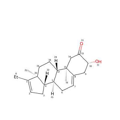 CCC1=CC[C@H]2[C@@H]3CC=C4C[C@@H](O)C(=O)C[C@]4(C)[C@H]3CC[C@]12C